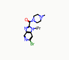 CC(C)n1c(C(=O)N2CCN(C)CC2)nc2cnc(Br)cc21